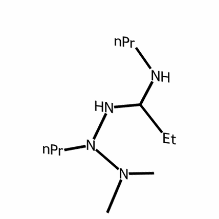 CCCNC(CC)NN(CCC)N(C)C